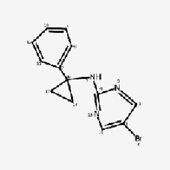 Brc1cnc(NC2(c3ccccc3)CC2)nc1